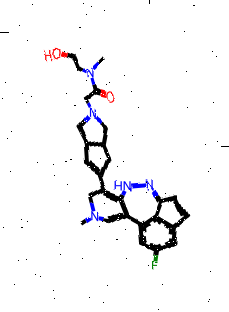 CN1C=C2C(=C(C3=CC4CN(CC(=O)N(C)CCO)CC4C3)C1)NN=C1C=Cc3cc(F)cc2c31